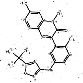 Cc1cc2c(cn1)cc(-c1cc(Nc3noc(C(C)(C)C)n3)ccc1C)c(=O)n2C